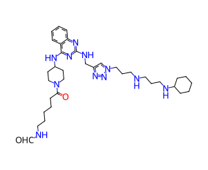 O=CNCCCCCC(=O)N1CCC(Nc2nc(NCc3cn(CCCNCCCNC4CCCCC4)nn3)nc3ccccc23)CC1